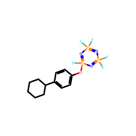 FP1(F)=NP(F)(F)=NP(F)(Oc2ccc(C3CCCCC3)cc2)=N1